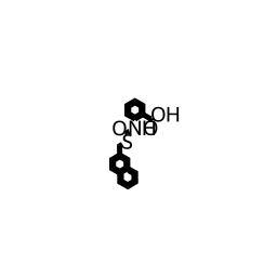 O=C(Nc1ccccc1C(=O)O)SCc1ccc2ccccc2c1